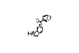 O=C(c1ccoc1)N1CCC2CCNC2C1